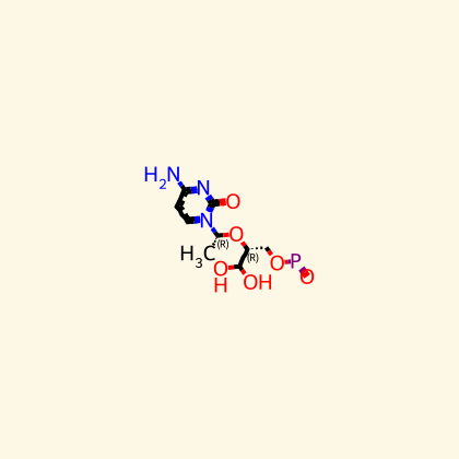 C[C@@H](O[C@H](COP=O)C(O)O)n1ccc(N)nc1=O